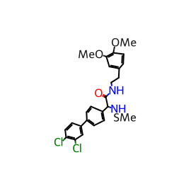 COc1ccc(CCNC(=O)C(NSC)c2ccc(-c3ccc(Cl)c(Cl)c3)cc2)cc1OC